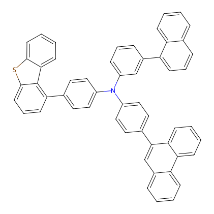 c1cc(-c2cccc3ccccc23)cc(N(c2ccc(-c3cc4ccccc4c4ccccc34)cc2)c2ccc(-c3cccc4sc5ccccc5c34)cc2)c1